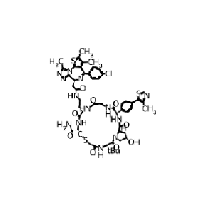 Cc1ncsc1-c1ccc([C@H]2NC(=O)[C@@H]3C[C@@H](O)CN3C(=O)[C@H](C(C)(C)C)NC(=O)CSC[C@H](C(N)=O)NC(=O)[C@@H](CCNC(=O)C[C@@H]3N=C(c4ccc(Cl)cc4)c4c(sc(C)c4C)-n4c(C)nnc43)NC(=O)CNC2=O)cc1